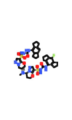 CN(C1CCOc2c(S(=O)(=O)NC(=O)Nc3c4c(c(F)c5c3CCC5)CCC4)cnn21)[C@H]1COc2c(S(=O)(=O)NC(=O)Nc3c4c(cc5c3CCC5)CCC4)cnn2C1